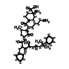 CC1C[C@@H](NC(=O)C(Cc2ccccc2)NC(=O)CNCC(C)(C)c2ccccc2)C(=O)N1[C@H](CCCCN)C(=O)N1CCC(N)(C(=O)O)CC1